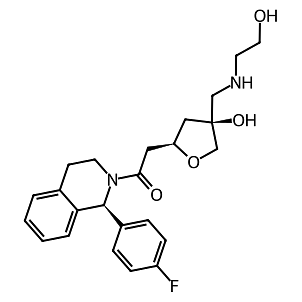 O=C(C[C@H]1C[C@](O)(CNCCO)CO1)N1CCc2ccccc2[C@@H]1c1ccc(F)cc1